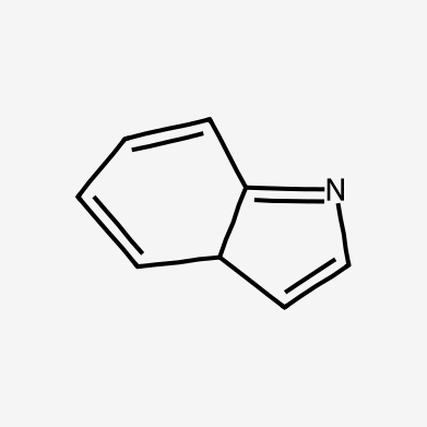 C1=CC2=NC=CC2C=C1